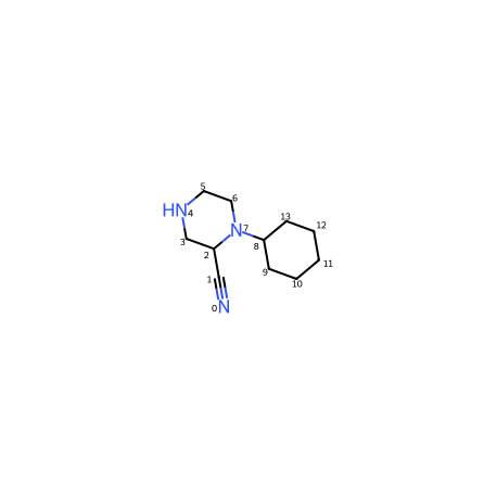 N#CC1CNCCN1C1CCCCC1